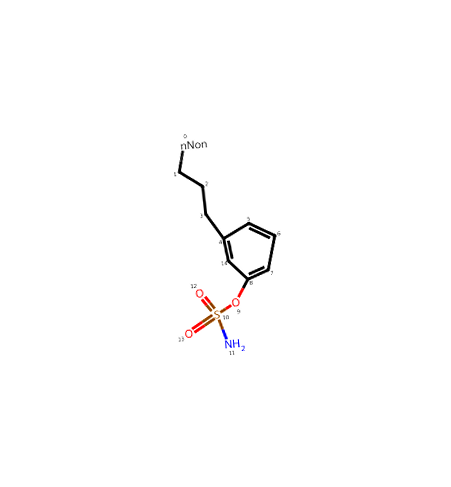 CCCCCCCCCCCCc1cccc(OS(N)(=O)=O)c1